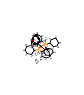 C=CC(c1ccccc1)(P(Cl)(C1CCCCC1)(C1CCCCC1)C1CCCCC1)P(Cl)(C1CCCCC1)(C1CCCCC1)C1CCCCC1.[Ru+2]